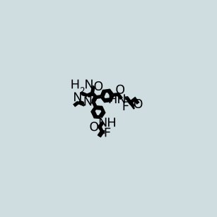 C=C(F)C(=O)Nc1ccc(-c2c(-c3ccc(C(=O)NCC4(F)COC4)cc3)c(C(N)=O)c3cnc(C)cn23)cc1